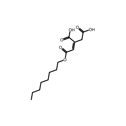 CCCCCCCCOC(=O)C=C(CC(=O)O)C(=O)O